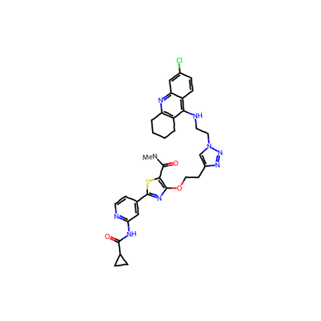 CNC(=O)c1sc(-c2ccnc(NC(=O)C3CC3)c2)nc1OCCc1cn(CCNc2c3c(nc4cc(Cl)ccc24)CCCC3)nn1